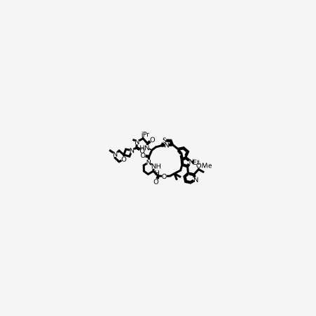 CCn1c(-c2cccnc2[C@H](C)OC)c2c3cc(ccc31)-c1csc(n1)C[C@H](NC(=O)[C@H](C(C)C)N(C)C(=O)N1CC3(CN(C)CCO3)C1)C(=O)N1CCC[C@H](N1)C(=O)OCC(C)(C)C2